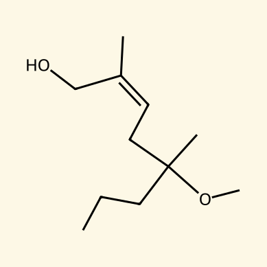 CCCC(C)(CC=C(C)CO)OC